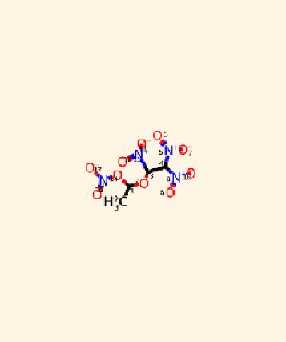 CC(OC(C([N+](=O)[O-])[N+](=O)[O-])[N+](=O)[O-])O[N+](=O)[O-]